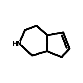 C1=CC2CCNCC2C1